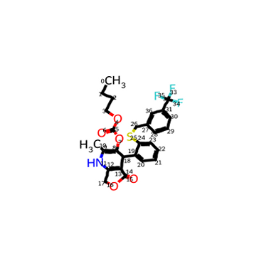 CCCCOC(=O)OC1=C(C)NC2=C(C(=O)OC2)C1c1ccccc1SCc1cccc(C(F)(F)F)c1